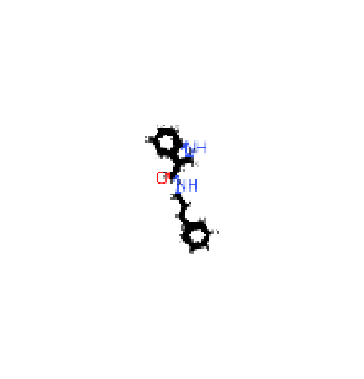 O=C(NCCCc1ccccc1)c1c[nH]c2ccccc12